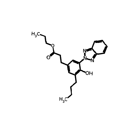 CCCCc1cc(CCC(=O)OCCC)cc(-n2nc3ccccc3n2)c1O